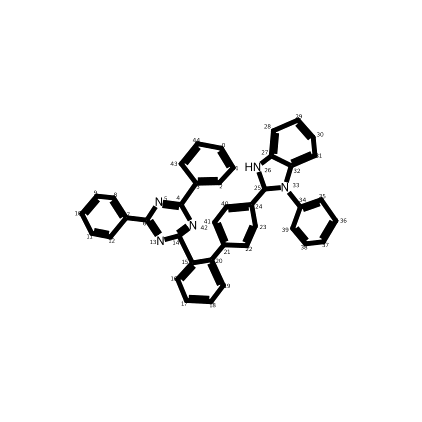 c1ccc(-c2nc(-c3ccccc3)nc(-c3ccccc3-c3ccc(C4Nc5ccccc5N4c4ccccc4)cc3)n2)cc1